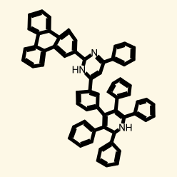 C1=C(c2cccc(C3=C(c4ccccc4)C(c4ccccc4)NC(c4ccccc4)=C3c3ccccc3)c2)NC(c2ccc3c4ccccc4c4ccccc4c3c2)N=C1c1ccccc1